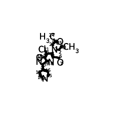 C[C@@H]1CN(c2c(C=O)nc3c(-c4ccncc4)noc3c2Cl)C[C@H](C)O1